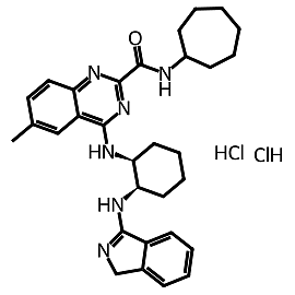 Cc1ccc2nc(C(=O)NC3CCCCCC3)nc(N[C@H]3CCCC[C@H]3NC3=NCc4ccccc43)c2c1.Cl.Cl